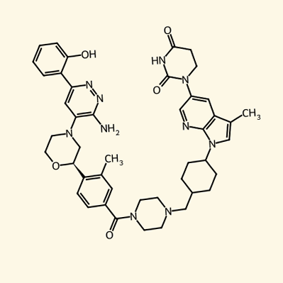 Cc1cc(C(=O)N2CCN(CC3CCC(n4cc(C)c5cc(N6CCC(=O)NC6=O)cnc54)CC3)CC2)ccc1[C@@H]1CN(c2cc(-c3ccccc3O)nnc2N)CCO1